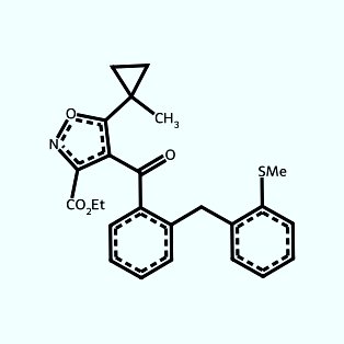 CCOC(=O)c1noc(C2(C)CC2)c1C(=O)c1ccccc1Cc1ccccc1SC